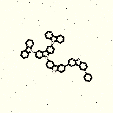 c1ccc(-c2ccc3sc4ccc(-c5ccc6oc7ccc(-n8c9ccc(-n%10c%11ccccc%11c%11ccccc%11%10)cc9c9cc(-n%10c%11ccccc%11c%11ccccc%11%10)ccc98)cc7c6c5)cc4c3c2)cc1